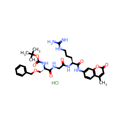 Cc1cc(=O)oc2cc(NC(=O)[C@H](CCCNC(=N)N)NC(=O)CNC(=O)[C@H](COCc3ccccc3)NC(=O)OC(C)(C)C)ccc12.Cl